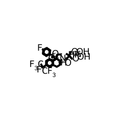 CC1(C(=O)N2CC[C@@]3(S(=O)(=O)c4ccc(F)cc4)c4ccc(C(F)(C(F)(F)F)C(F)(F)F)cc4CC[C@@H]23)CO[PH](O)(O)OC1